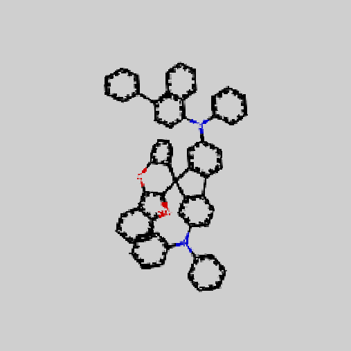 c1ccc(-c2ccc(N(c3ccccc3)c3ccc4c(c3)C3(c5ccccc5Oc5c3oc3ccccc53)c3cc(N(c5ccccc5)c5ccccc5)ccc3-4)c3ccccc23)cc1